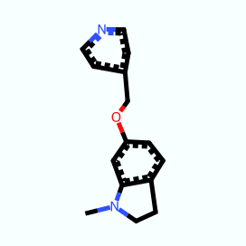 CN1CCc2ccc(OCc3ccncc3)cc21